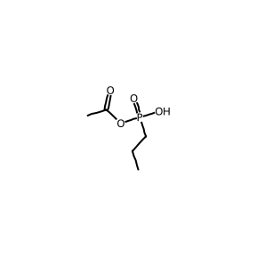 CCCP(=O)(O)OC(C)=O